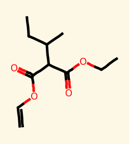 C=COC(=O)C(C(=O)OCC)C(C)CC